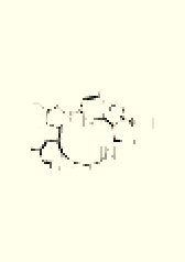 Nc1nn2ccc3nc2c1C(=O)NCCCc1ncc(F)cc1C1C[C@H](F)CN31